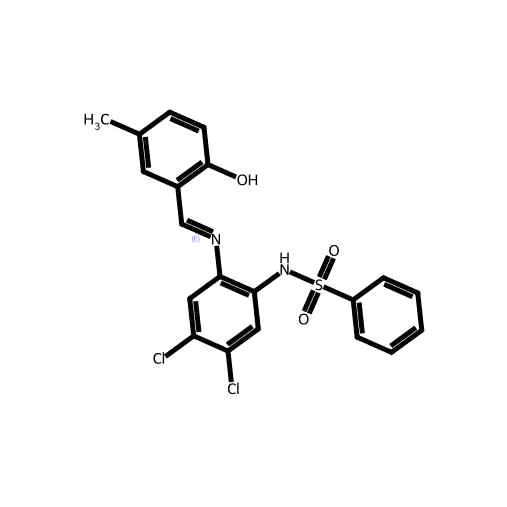 Cc1ccc(O)c(/C=N/c2cc(Cl)c(Cl)cc2NS(=O)(=O)c2ccccc2)c1